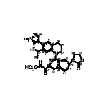 Cn1cc(-c2cc3c(cc2C(F)F)N(c2nc(C(=O)NC(=O)O)cc4ccc(N5CCOC5=O)cc24)CCC3)cn1